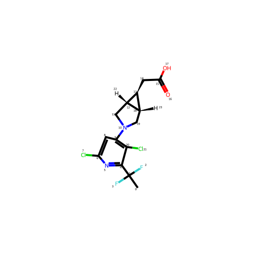 CC(F)(F)c1nc(Cl)cc(N2C[C@@H]3[C@@H](CC(=O)O)[C@@H]3C2)c1Cl